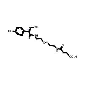 O=C(O)CCC(=O)NCCSSCCNC(=O)/C(=N\O)c1ccc(O)cc1